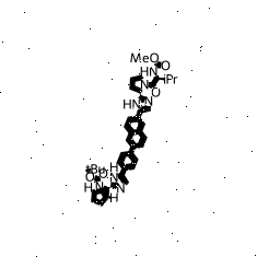 COC(=O)N[C@H](C(=O)N1CCC[C@H]1c1ncc(-c2ccc3cc(-c4ccc(-c5cnc([C@@H]6[C@@H]7CC[C@@H](C7)N6C(=O)OC(C)(C)C)[nH]5)cc4)ccc3c2)[nH]1)C(C)C